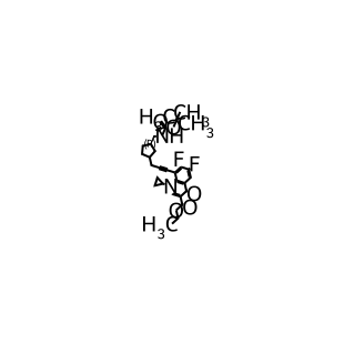 CCOC(=O)c1cn(C2CC2)c2c(C#CCC3CC[C@@H](CNC(=O)OC(C)(C)C)C3)c(F)c(F)cc2c1=O